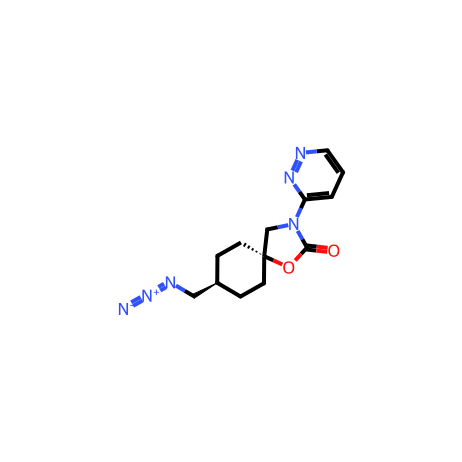 [N-]=[N+]=NC[C@H]1CC[C@]2(CC1)CN(c1cccnn1)C(=O)O2